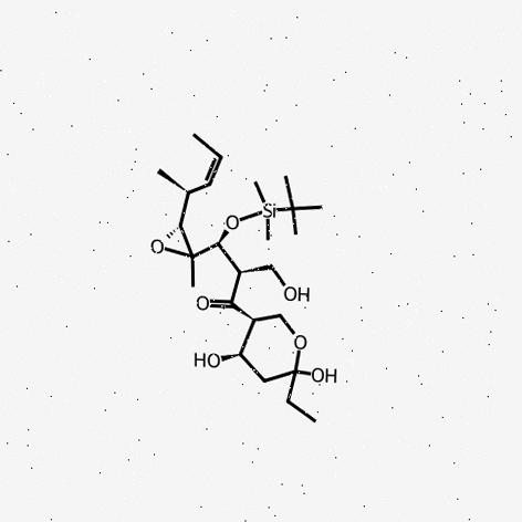 C/C=C\[C@H](C)[C@H]1OC1(C)[C@@H](O[Si](C)(C)C(C)(C)C)[C@@H](CO)C(=O)[C@H]1COC(O)(CC)C[C@H]1O